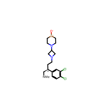 CNC[C@@H](CCN1CC(N2CC[S+]([O-])CC2)C1)c1ccc(Cl)c(Cl)c1